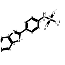 Cc1ccc2nc(-c3ccc(NS(=O)(=O)O)cc3)sc2c1